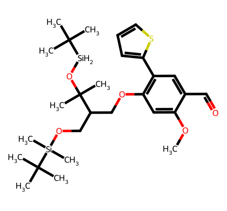 COc1cc(OCC(CO[Si](C)(C)C(C)(C)C)C(C)(C)O[SiH2]C(C)(C)C)c(-c2cccs2)cc1C=O